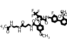 COc1ccc(-n2nc(C(F)(F)F)cc2C(=O)Nc2ccc(-c3ccccc3S(C)(=O)=O)cc2F)c(C(=O)NCCC(=O)NCCNC(C)=O)c1